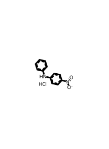 Cl.O=[N+]([O-])c1ccc(Nc2ccccc2)cc1